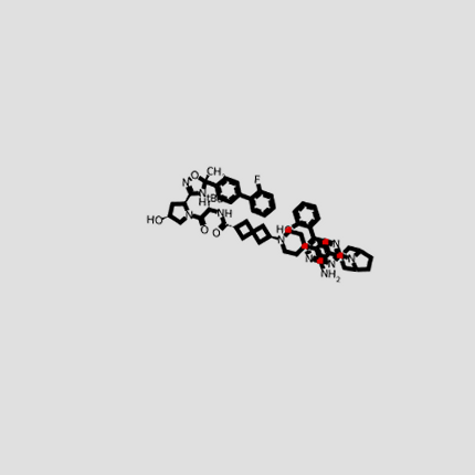 CC(C)(C)[C@H](NC(=O)[C@H]1CC2(C1)C[C@H](N1CCC(c3cnc(N4C5CCC4CN(c4cc(-c6ccccc6O)nnc4N)C5)nc3)CC1)C2)C(=O)N1C[C@H](O)C[C@H]1C1=NO[C@](C)(c2ccc(-c3ccccc3F)cc2)N1